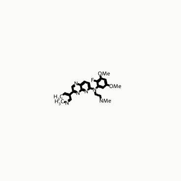 C/C=C(\C=N/C)c1cnc2ccc(N(CCNC)c3cc(OC)cc(OC)c3F)nc2n1